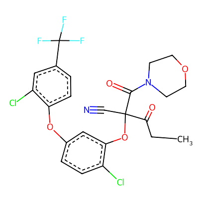 CCC(=O)C(C#N)(Oc1cc(Oc2ccc(C(F)(F)F)cc2Cl)ccc1Cl)C(=O)N1CCOCC1